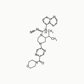 CC(C)C1CN(c2cnc(C(=O)N3CCOCC3)cn2)CCN1/C(=N\C#N)Nc1cccc2ncccc12